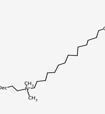 CCCCCCCCCCCC[N+](C)(C)CCCCCCCCCCCCCCO